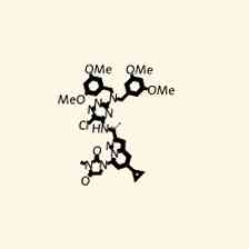 COc1cc(CN(Cc2cc(OC)cc(OC)c2)c2nnc(Cl)c(N[C@H](C)c3cc4cc(C5CC5)cc(N5CC(=O)N(C)C5=O)n4n3)n2)cc(OC)c1